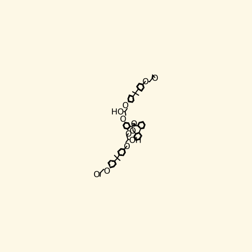 CC(C)(c1ccc(OCC(O)COc2ccc(OCC(O)COc3ccc(C(C)(C)c4ccc(OCC5CO5)cc4)cc3)c(P3(=O)Oc4ccccc4-c4ccccc43)c2)cc1)c1ccc(OCC2CO2)cc1